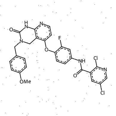 COc1ccc(CN2Cc3c(Oc4ccc(NC(=O)c5cc(Cl)cnc5Cl)cc4F)ccnc3NC2=O)cc1